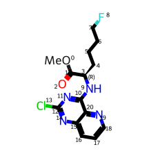 COC(=O)[C@@H](CCCCF)Nc1nc(Cl)nc2cccnc12